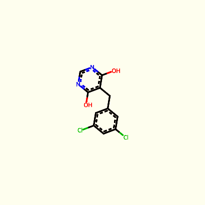 Oc1ncnc(O)c1Cc1cc(Cl)cc(Cl)c1